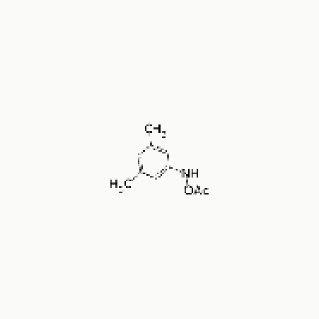 CC(=O)ONc1cc(C)cc(C)c1